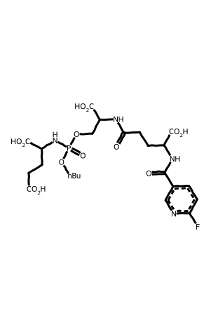 CCCCOP(=O)(NC(CCC(=O)O)C(=O)O)OCC(NC(=O)CCC(NC(=O)c1ccc(F)nc1)C(=O)O)C(=O)O